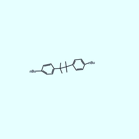 CCCCc1ccc(C(C)(C)C(C)(C)c2ccc(CCCC)cc2)cc1